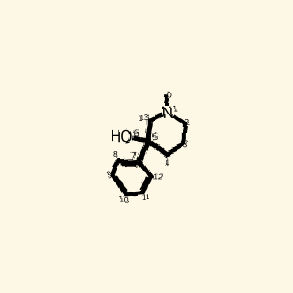 CN1CCCC(O)(c2ccccc2)C1